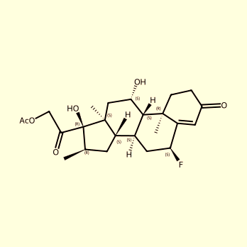 CC(=O)OCC(=O)[C@@]1(O)[C@H](C)C[C@H]2[C@@H]3C[C@H](F)C4=CC(=O)CC[C@]4(C)[C@H]3[C@@H](O)C[C@@]21C